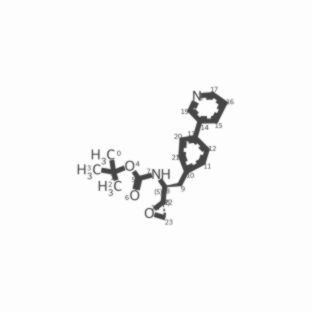 CC(C)(C)OC(=O)N[C@@H](Cc1ccc(-c2cccnc2)cc1)[C@@H]1CO1